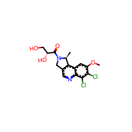 COc1cc2c3c(cnc2c(Cl)c1Cl)CN(C(=O)[C@H](O)CO)[C@H]3C